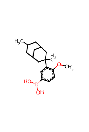 COc1ccc(B(O)O)cc1C1(C)CC2CC(C)CC(C2)C1